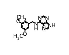 COc1cc(CNc2ncnc3[nH]cnc23)cc(OC)c1